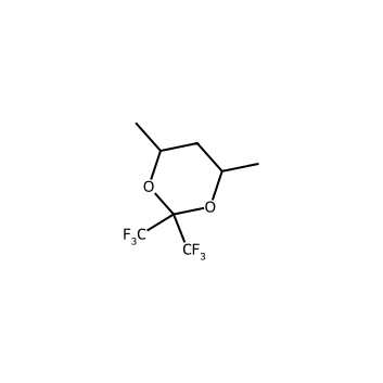 CC1CC(C)OC(C(F)(F)F)(C(F)(F)F)O1